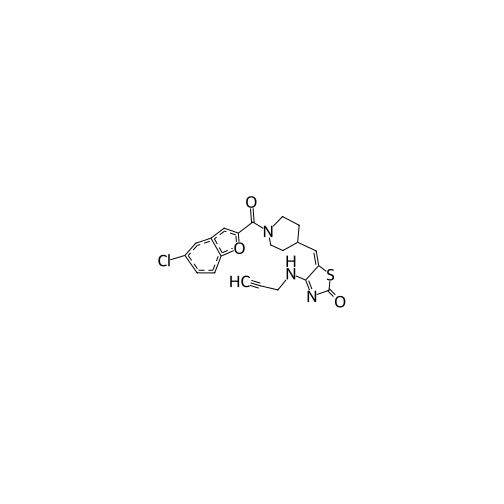 C#CCNC1=NC(=O)SC1=CC1CCN(C(=O)c2cc3cc(Cl)ccc3o2)CC1